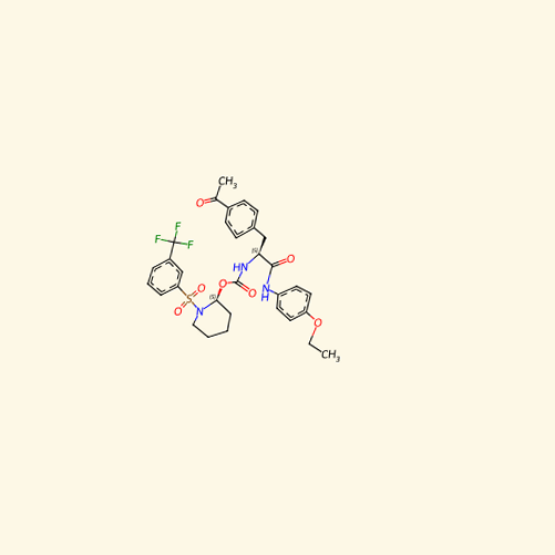 CCOc1ccc(NC(=O)[C@H](Cc2ccc(C(C)=O)cc2)NC(=O)O[C@H]2CCCCN2S(=O)(=O)c2cccc(C(F)(F)F)c2)cc1